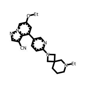 CCOc1cc(-c2ccc(N3CC4(CCCN(CC)C4)C3)nc2)c2c(C#N)cnn2c1